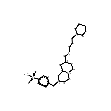 CS(=O)(=O)c1ccc(CN2CCN3CCC(COCCCN4CCCCC4)CC3C2)cc1